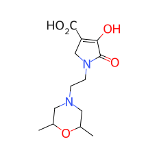 CC1CN(CCN2CC(C(=O)O)=C(O)C2=O)CC(C)O1